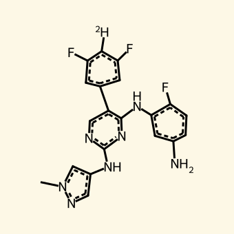 [2H]c1c(F)cc(-c2cnc(Nc3cnn(C)c3)nc2Nc2cc(N)ccc2F)cc1F